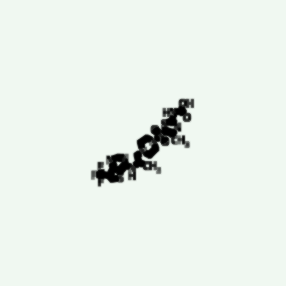 Cc1nc(NC(=O)O)sc1S(=O)(=O)N1CCN(CC(C)Nc2ncnc3c(C(F)(F)F)csc23)CC1